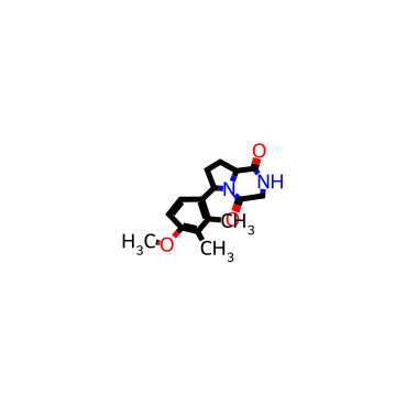 COc1ccc(C2CCC3C(=O)NCC(=O)N32)c(C)c1C